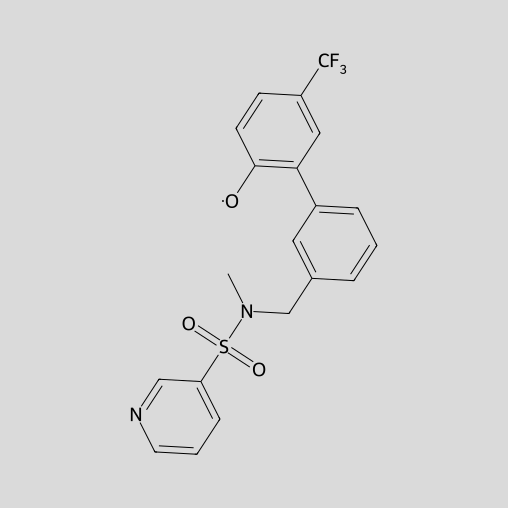 CN(Cc1cccc(-c2cc(C(F)(F)F)ccc2[O])c1)S(=O)(=O)c1cccnc1